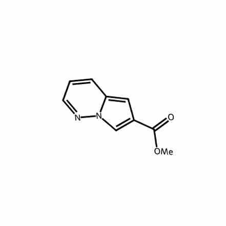 COC(=O)c1cc2cccnn2c1